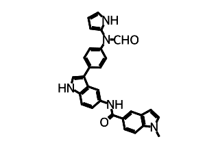 Cn1ccc2cc(C(=O)Nc3ccc4[nH]cc(-c5ccc(N(C=O)c6ccc[nH]6)cc5)c4c3)ccc21